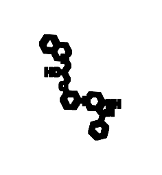 OC(COc1cccc(N2CCc3[nH]nc(-c4ccccc4)c3C2)c1)CN1CCc2ccccc2C1